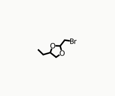 CCC1COC(CBr)O1